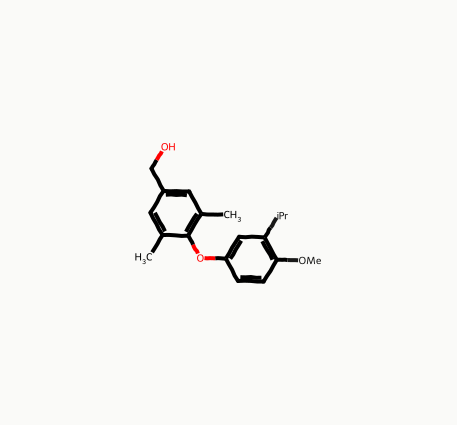 COc1ccc(Oc2c(C)cc(CO)cc2C)cc1C(C)C